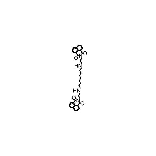 O=C1c2cccc3cccc(c23)C(=O)N1CCCNCCCCCCCCCNCCCN1C(=O)c2cccc3cccc(c23)C1=O